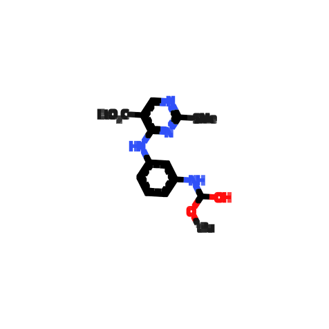 CCOC(=O)c1cnc(SC)nc1Nc1cccc(NC(O)OC(C)(C)C)c1